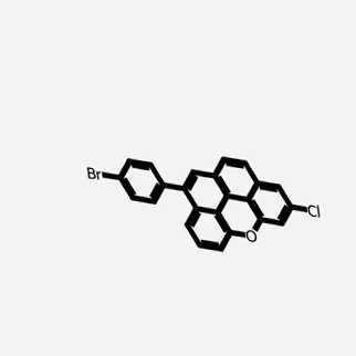 Clc1cc2c3c(ccc4cc(-c5ccc(Br)cc5)c5cccc(c5c43)O2)c1